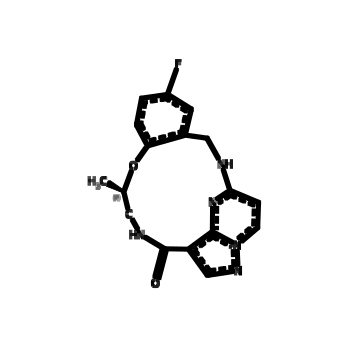 C[C@@H]1CNC(=O)c2cnn3ccc(nc23)NCc2cc(F)ccc2O1